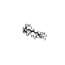 Cc1noc(=O)n1C/C(F)=C/CCC(C)(C)N